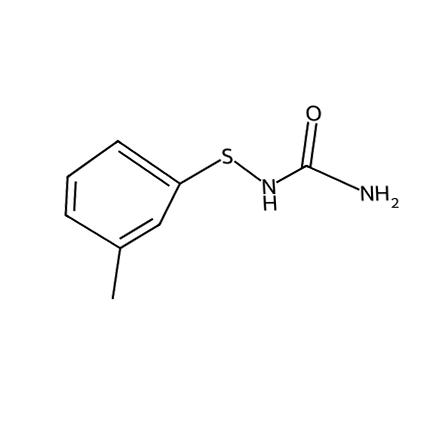 Cc1cccc(SNC(N)=O)c1